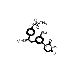 COC(Cc1cc(N2CCC(=O)NC2=O)cc(C(C)(C)C)c1)c1ccc(NS(C)(=O)=O)cc1